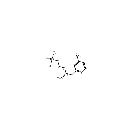 Cc1cccc(C[C@H](NCCP(=O)(O)O)C(=O)O)c1